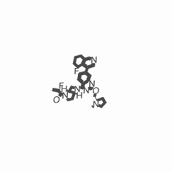 C=C(F)C(=O)N1CC[C@@H]2[C@H]1CN2c1nc(OC[C@@H]2CCCN2C)nc2cc(-c3cncc4c3CCCC4)c(F)cc12